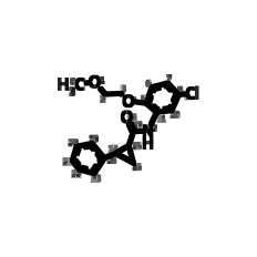 COCCOc1ccc(Cl)cc1NC(=O)C1CC1c1ccccc1